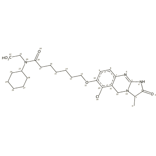 CC1C(=O)NC2=Nc3ccc(OCCCCCCC(=O)N(CC(=O)O)C4CCCCC4)c(Cl)c3CN21